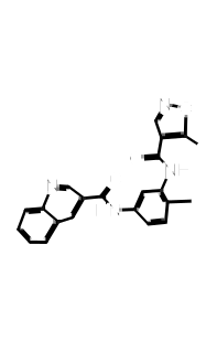 Cc1ccc(NC(=O)c2cnc3ccccc3c2)cc1NC(=O)c1cnoc1C